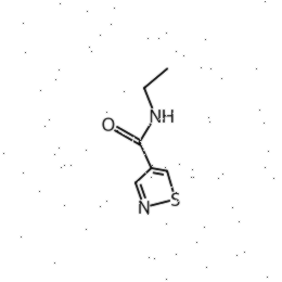 CCNC(=O)c1cnsc1